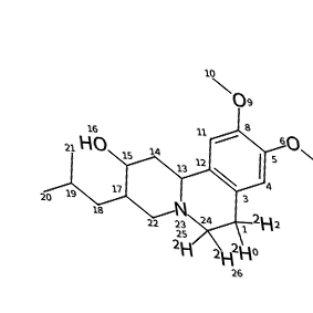 [2H]C1([2H])c2cc(OC)c(OC)cc2C2CC(O)C(CC(C)C)CN2C1([2H])[2H]